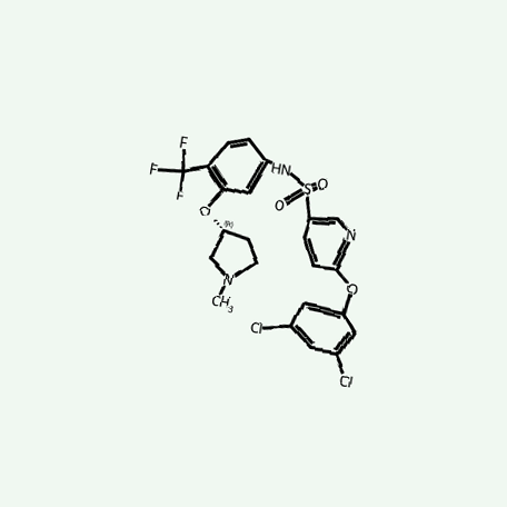 CN1CC[C@@H](Oc2cc(NS(=O)(=O)c3ccc(Oc4cc(Cl)cc(Cl)c4)nc3)ccc2C(F)(F)F)C1